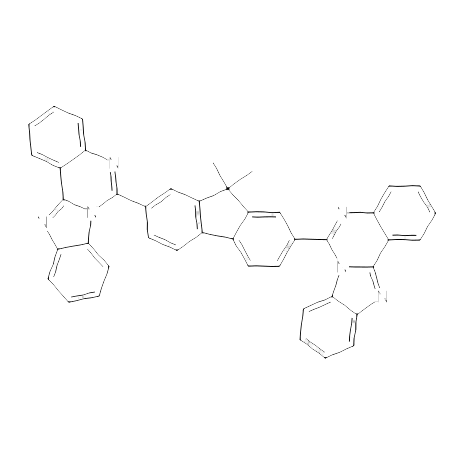 CC1(C)c2cc(-c3nc4ccccc4c4nc5ccccc5n34)ccc2-c2ccc(-c3nc4ccccc4c4nc5ccccc5n34)cc21